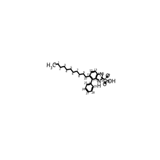 CCCCCCCCCCCc1ccc2nc(S(=O)(=O)O)[nH]c2c1-c1ccccc1